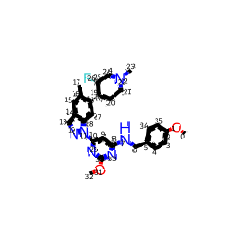 COc1ccc(CNc2cc(-n3ncc4cc(C)c([C@H]5CCN(C)C[C@H]5F)cc43)nc(OC)n2)cc1